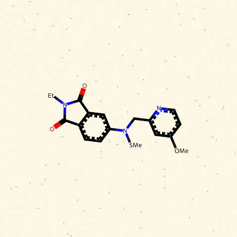 CCN1C(=O)c2ccc(N(Cc3cc(OC)ccn3)SC)cc2C1=O